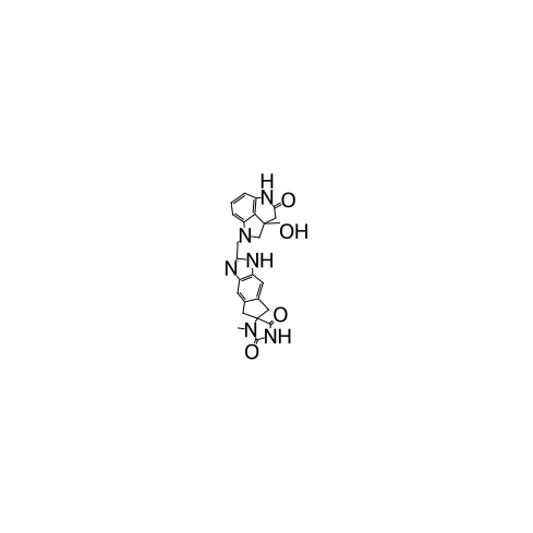 CN1C(=O)NC(=O)C12Cc1cc3nc(CN4CC5(CO)CC(=O)Nc6cccc4c65)[nH]c3cc1C2